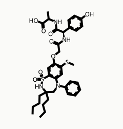 CCCCC1(CCCC)CN(c2ccccc2)c2cc(SC)c(OCC(=O)N[C@@H](C(=O)NC(C)C(=O)O)c3ccc(O)cc3)cc2S(=O)(=O)N1